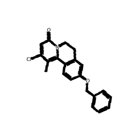 Cc1c(Cl)cc(=O)n2c1-c1ccc(OCc3ccccc3)cc1CC2